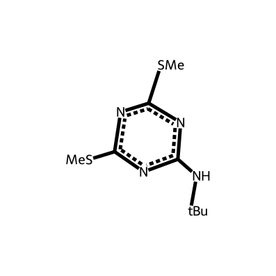 CSc1nc(NC(C)(C)C)nc(SC)n1